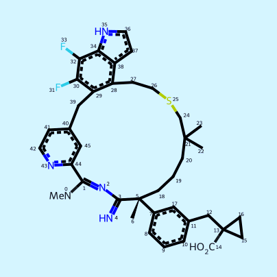 CN/C1=N\C(=N)[C@@](C)(c2cccc(CC3(C(=O)O)CC3)c2)CCCC(C)(C)CSCCc2c(c(F)c(F)c3[nH]ccc23)Cc2ccnc1c2